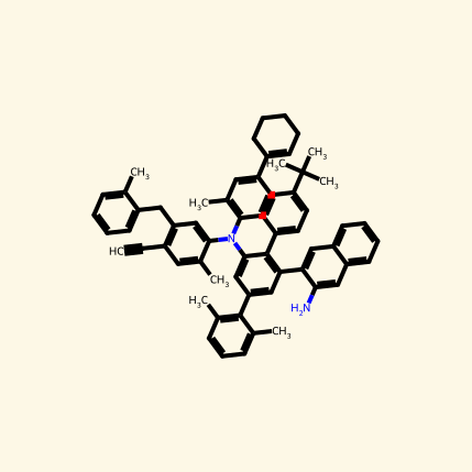 C#Cc1cc(C)c(N(c2ccc(C3=CCCCC3)cc2C)c2cc(-c3c(C)cccc3C)cc(-c3cc4ccccc4cc3N)c2-c2ccc(C(C)(C)C)cc2)cc1Cc1ccccc1C